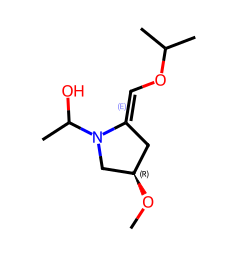 CO[C@@H]1C/C(=C\OC(C)C)N(C(C)O)C1